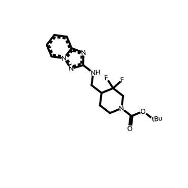 CC(C)(C)OC(=O)N1CCC(CNc2nc3ccccn3n2)C(F)(F)C1